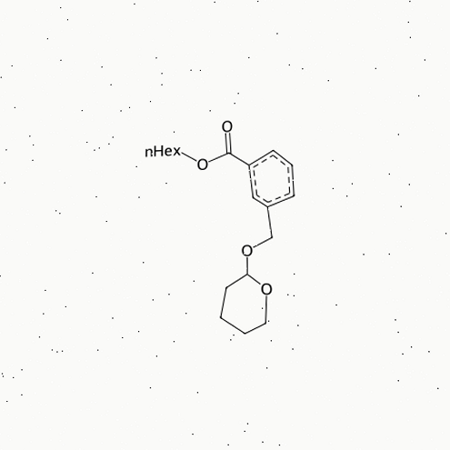 CCCCCCOC(=O)c1cccc(COC2CCCCO2)c1